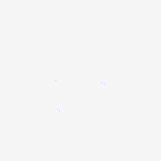 CCCN(Cc1cccs1)Cc1s[c]nc1C(F)(F)F